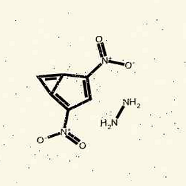 NN.O=[N+]([O-])c1cc([N+](=O)[O-])c2cc1-2